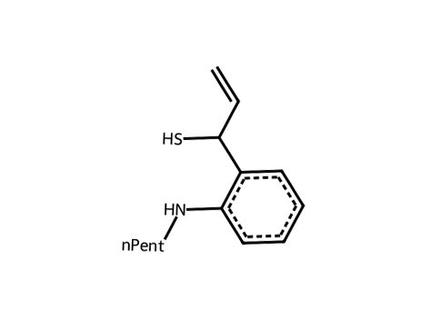 C=CC(S)c1ccccc1NCCCCC